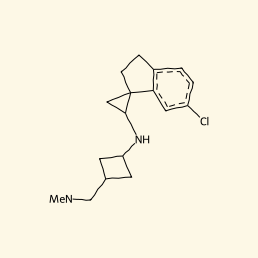 CNCC1CC(NC2CC23CCc2ccc(Cl)cc23)C1